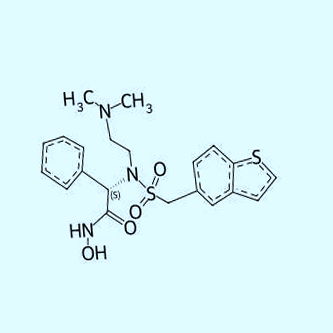 CN(C)CCN([C@H](C(=O)NO)c1ccccc1)S(=O)(=O)Cc1ccc2sccc2c1